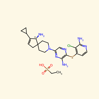 CCS(=O)(=O)O.Nc1nc(N2CCC3(CC=C(C4CC4)[C@H]3N)CC2)cnc1Sc1ccnc(N)c1Cl